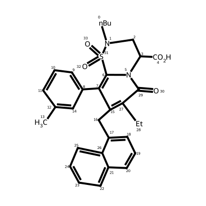 CCCCN1CC(C(=O)O)n2c(c(-c3cccc(C)c3)c(Cc3cccc4ccccc34)c(CC)c2=O)S1(=O)=O